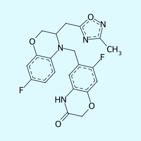 Cc1noc(CC2COc3cc(F)ccc3N2Cc2cc3c(cc2F)OCC(=O)N3)n1